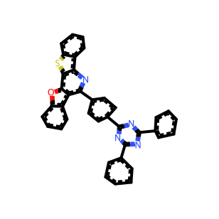 c1ccc(-c2nc(-c3ccccc3)nc(-c3ccc(-c4nc5c6ccccc6sc5c5oc6ccccc6c45)cc3)n2)cc1